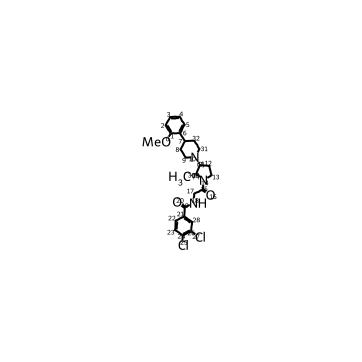 COc1ccccc1C1CCN([C@@H]2CCN(C(=O)CNC(=O)c3ccc(Cl)c(Cl)c3)[C@@H]2C)CC1